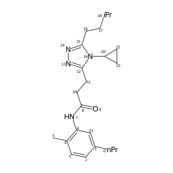 CCCc1ccc(C)c(NC(=O)CCc2nnc(CCC(C)C)n2C2CC2)c1